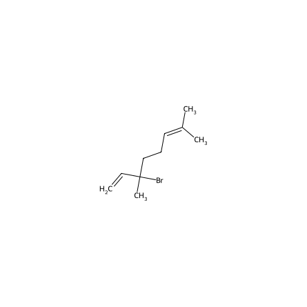 C=CC(C)(Br)CCC=C(C)C